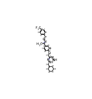 C/C(=N\OCc1ccc(C(F)(F)F)cc1)c1ccc(OC/C(N=N)=N/NCC2CCCCC2)nc1